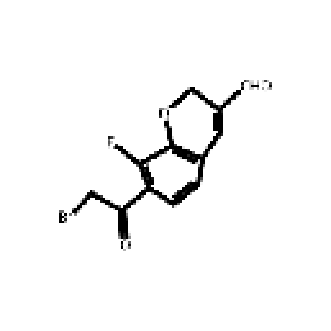 O=CC1=Cc2ccc(C(=O)CBr)c(F)c2OC1